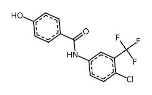 O=C(Nc1ccc(Cl)c(C(F)(F)F)c1)c1ccc(O)cc1